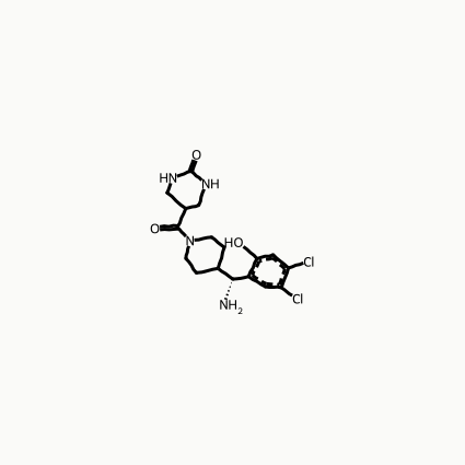 N[C@@H](c1cc(Cl)c(Cl)cc1O)C1CCN(C(=O)C2CNC(=O)NC2)CC1